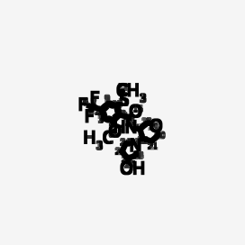 COc1cc(C(F)(F)F)cc(SC)c1C(=O)NC1COCCC1N1CCC(O)C1